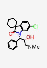 CNC[C@@H](O)[C@H](c1ccccc1)N1C(=O)C2(CCCCC2)c2ccc(Cl)cc21